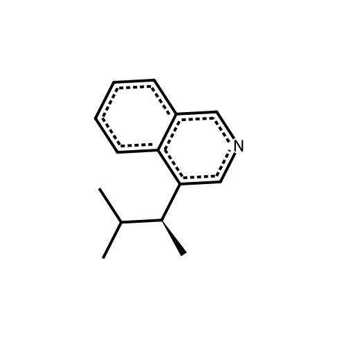 CC(C)[C@H](C)c1cncc2ccccc12